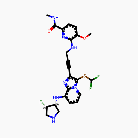 CNC(=O)c1ccc(OC)c(NCC#Cc2nc3c(N[C@@H]4CNC[C@@H]4F)cccn3c2SC(F)F)n1